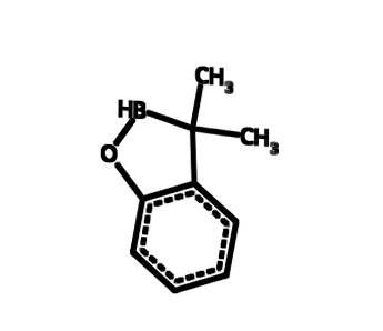 CC1(C)BOc2ccccc21